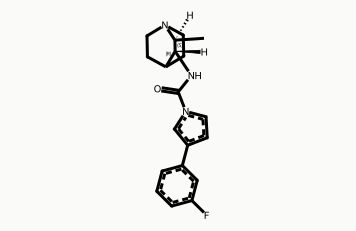 C[C@H]1[C@H](NC(=O)n2ccc(-c3cccc(F)c3)c2)C2CCN1CC2